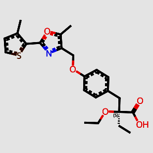 CCO[C@@](CC)(Cc1ccc(OCc2nc(-c3sccc3C)oc2C)cc1)C(=O)O